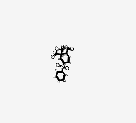 O=C(O)C1C=CC(S(=O)(=O)c2ccccc2)=CC12C(=O)OC2=O